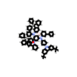 CC(C)(C)c1ccc2c(c1)c1cc(C(C)(C)C)ccc1n2-c1ccc(N2c3cc(-c4ccccc4)ccc3B3c4ccc([Si](c5ccccc5)(c5ccccc5)c5ccccc5)cc4N(c4cccc([Si](c5ccccc5)(c5ccccc5)c5ccccc5)c4)c4cc(-n5c6ccccc6c6ccccc65)cc2c43)cc1